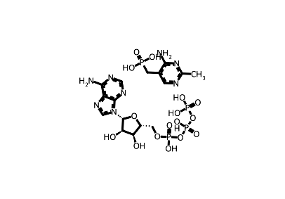 Cc1ncc(CP(=O)(O)O)c(N)n1.Nc1ncnc2c1ncn2[C@@H]1O[C@H](COP(=O)(O)OP(=O)(O)OP(=O)(O)O)[C@@H](O)[C@H]1O